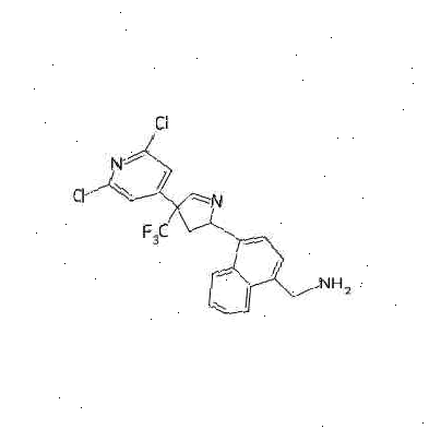 NCc1ccc(C2CC(c3cc(Cl)nc(Cl)c3)(C(F)(F)F)C=N2)c2ccccc12